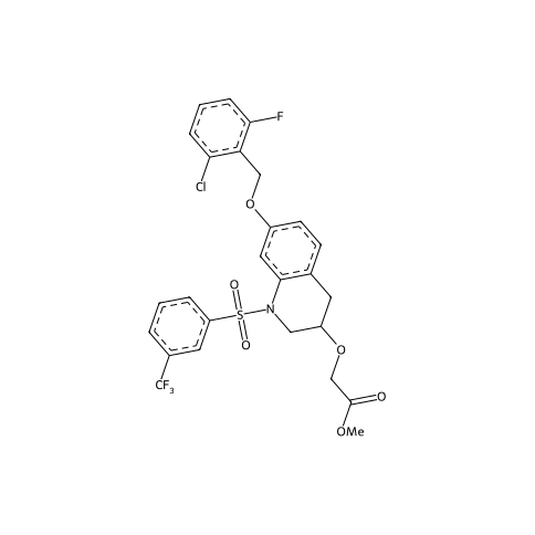 COC(=O)COC1Cc2ccc(OCc3c(F)cccc3Cl)cc2N(S(=O)(=O)c2cccc(C(F)(F)F)c2)C1